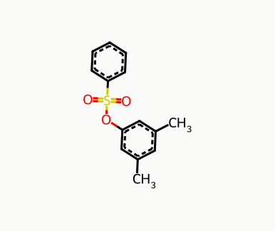 Cc1cc(C)cc(OS(=O)(=O)c2ccccc2)c1